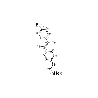 CCCCCC[C@H](C)Oc1ccc(C(F)=C(F)c2ccc(CC)cc2)cc1